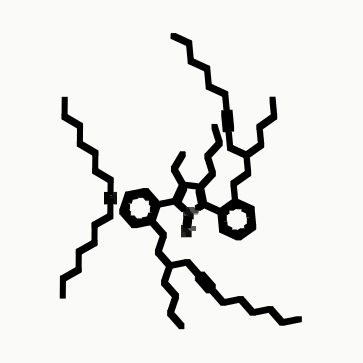 CCCCCCC#CCC(CCCC)CCc1ccccc1C1=C(CC)C(CCCC)=C(c2ccccc2CCC(CC#CCCCCCC)CCCC)[N+]1=[N-].CCCCCC[CH2][Ni][CH2]CCCCCC